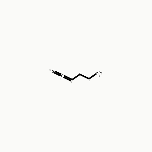 CCCCCC=C=S